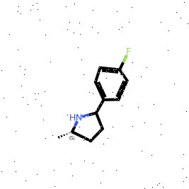 C[C@H]1CCC(c2ccc(F)cc2)N1